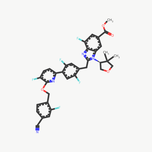 COC(=O)c1cc(F)c2nc(Cc3cc(F)c(-c4ccc(F)c(OCc5ccc(C#N)cc5F)n4)cc3F)n([C@@H]3COCC3(C)C)c2c1